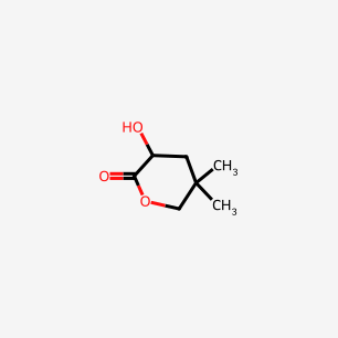 CC1(C)COC(=O)C(O)C1